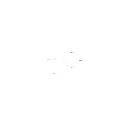 [C-]#[N+]c1ccc(Cl)cc1C(C)C